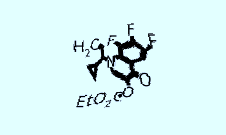 C=CC(C1CC1)n1cc(OC(=O)OCC)c(=O)c2cc(F)c(F)c(F)c21